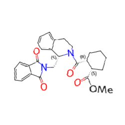 COC(=O)[C@H]1CCCC[C@H]1C(=O)N1CCc2ccccc2[C@H]1CN1C(=O)c2ccccc2C1=O